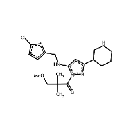 COCC(C)(C)C(=O)n1nc(C2CCCNC2)cc1NCc1ccc(Cl)s1